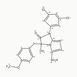 CC1(Cc2ccc(OC(F)(F)F)cc2)C(=O)N(c2cc(Cl)cc(Cl)c2)c2ncc(S(=O)(=O)O)n21